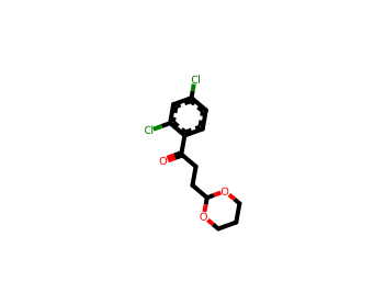 O=C(CCC1OCCCO1)c1ccc(Cl)cc1Cl